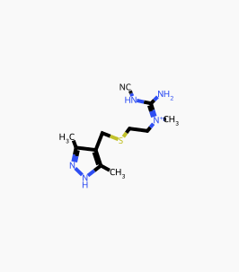 Cc1n[nH]c(C)c1CSCC[N+](C)=C(N)NC#N